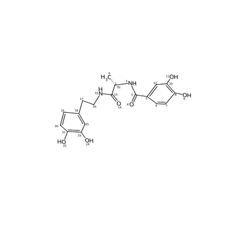 C[C@H](NC(=O)c1ccc(O)c(O)c1)C(=O)NCCc1ccc(O)c(O)c1